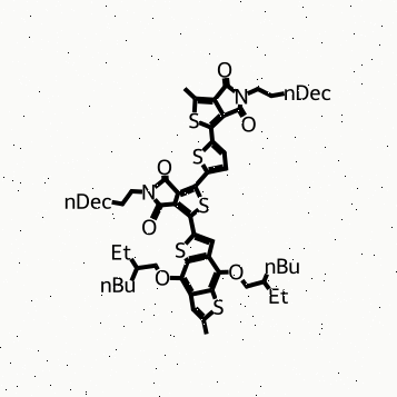 CCCCCCCCCCCCN1C(=O)c2c(C)sc(-c3ccc(-c4sc(-c5cc6c(OCC(CC)CCCC)c7sc(C)cc7c(OCC(CC)CCCC)c6s5)c5c4C(=O)N(CCCCCCCCCCCC)C5=O)s3)c2C1=O